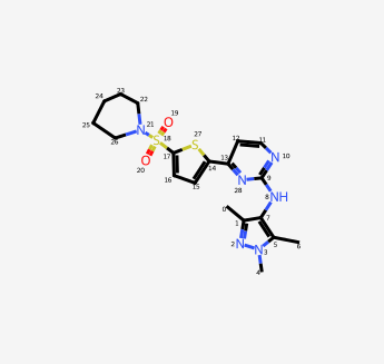 Cc1nn(C)c(C)c1Nc1nccc(-c2ccc(S(=O)(=O)N3CCCCC3)s2)n1